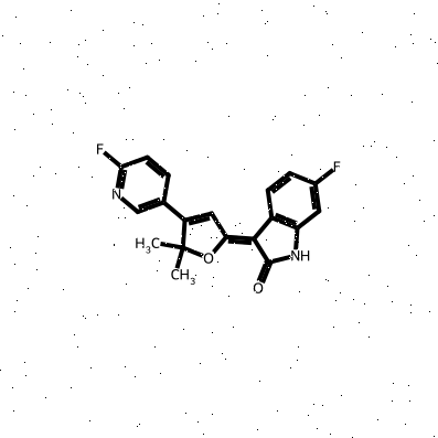 CC1(C)OC(=C2C(=O)Nc3cc(F)ccc32)C=C1c1ccc(F)nc1